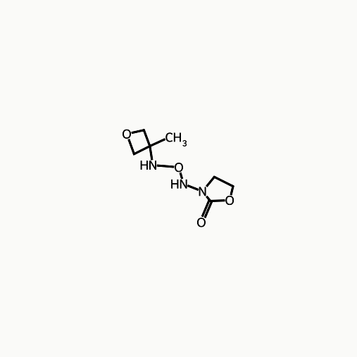 CC1(NONN2CCOC2=O)COC1